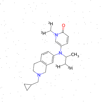 [2H]C([2H])C(C)N(c1ccc2c(c1)CN(CC1CC1)CC2)c1ccc(=O)n(C([2H])[2H])c1